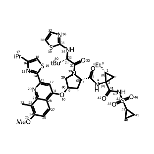 CC[C@@H]1C[C@]1(NC(=O)[C@@H]1C[C@@H](Oc2cc(-c3nc(C(C)C)cs3)nc3c(C)c(OC)ccc23)CN1C(=O)[C@@H](Nc1nccs1)C(C)(C)C)C(=O)NS(=O)(=O)C1CC1